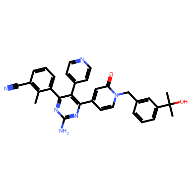 Cc1c(C#N)cccc1-c1nc(N)nc(-c2ccn(Cc3cccc(C(C)(C)O)c3)c(=O)c2)c1-c1ccncc1